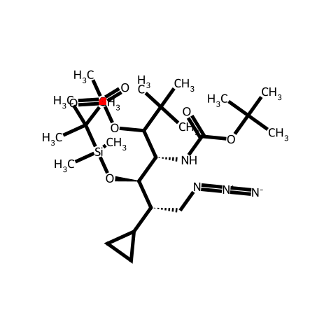 CC(C)(C)OC(=O)N[C@@H](C(OS(C)(=O)=O)C(C)(C)C)[C@H](O[Si](C)(C)C(C)(C)C)[C@H](CN=[N+]=[N-])C1CC1